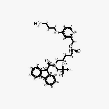 CCCCOc1ccnc(CO[PH](=O)CCCCN(CC(F)(F)F)C(=O)C2c3ccccc3-c3ccccc32)c1